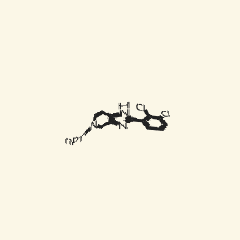 CCCN1C=Cc2[nH]c(-c3cccc(Cl)c3Cl)nc2C1